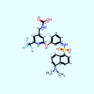 CN(C)c1cccc2c(S(=O)(=O)Nc3cccc(Oc4cc(CNC(=O)O)cc(C(F)(F)F)n4)c3)cccc12